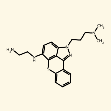 CN(C)CCCn1nc2c3c(c(NCCN)ccc31)Sc1ccccc1-2